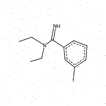 CCN(CC)C(=N)c1cccc(C)c1